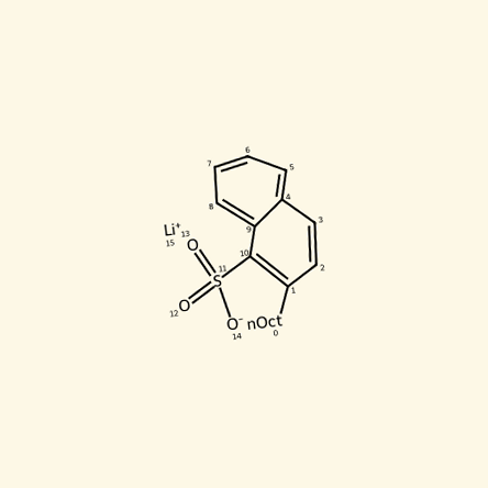 CCCCCCCCc1ccc2ccccc2c1S(=O)(=O)[O-].[Li+]